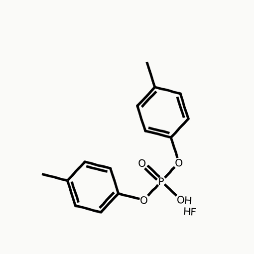 Cc1ccc(OP(=O)(O)Oc2ccc(C)cc2)cc1.F